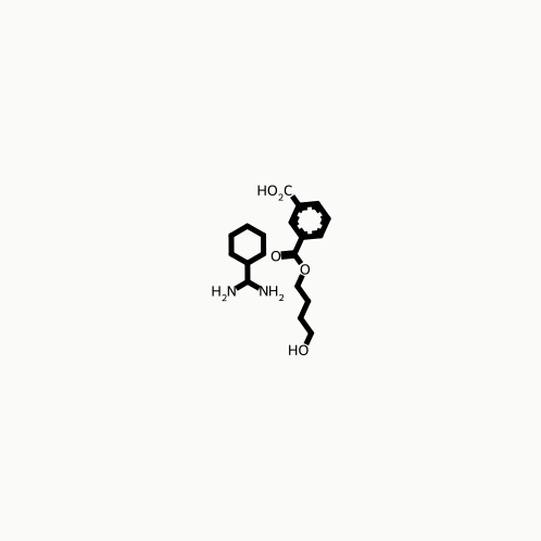 NC(N)C1CCCCC1.O=C(O)c1cccc(C(=O)OCCCCO)c1